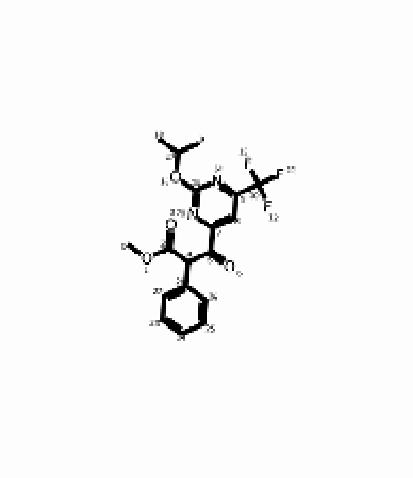 COC(=O)C(C(=O)c1cc(C(F)(F)F)nc(OC(C)C)n1)c1ccccc1